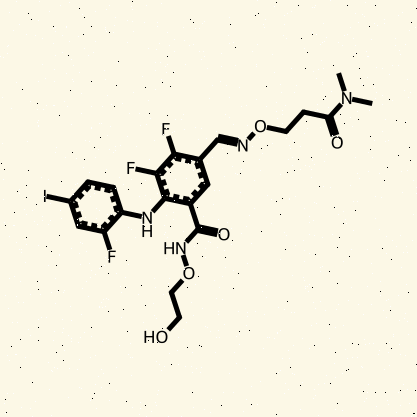 CN(C)C(=O)CCON=Cc1cc(C(=O)NOCCO)c(Nc2ccc(I)cc2F)c(F)c1F